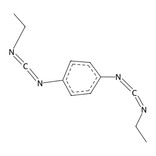 CCN=C=Nc1ccc(N=C=NCC)cc1